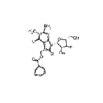 Cn1c(N)nc2c(c1=O)n(COC(=O)c1ccccc1)c(=O)n2[C@@H]1O[C@H](CO)[C@@H](F)[C@H]1O